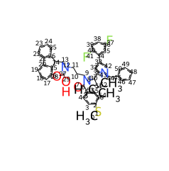 CSc1ccc(C(=O)N(CCCN(CC2c3ccccc3-c3ccccc32)C(=O)O)[C@@H](c2cc(-c3cc(F)ccc3F)cn2Cc2ccccc2)C(C)(C)C)cc1